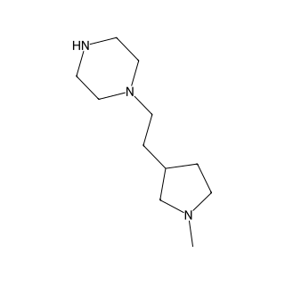 CN1CCC(CCN2CCNCC2)C1